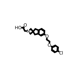 O=C(O)CN1CC2(Cc3ccc(OCCOc4ccc(Cl)cc4)cc3C2)C1